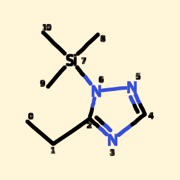 CCc1ncnn1[Si](C)(C)C